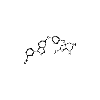 COCCC1(Oc2ccc(Oc3ccc4c(cnn4-c4cccc(C#N)c4)c3)cc2)CNCNC1=S